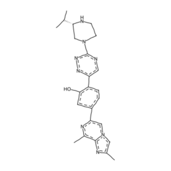 Cc1cn2cc(-c3ccc(-c4cnc(N5CCN[C@@H](C(C)C)C5)nn4)c(O)c3)nc(C)c2n1